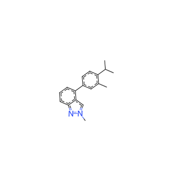 Cc1cc(-c2cccc3nn(C)cc23)ccc1C(C)C